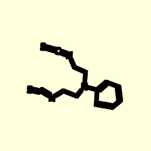 S=C=NCCN(CCN=C=S)c1ccccc1